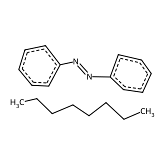 CCCCCCCC.c1ccc(N=Nc2ccccc2)cc1